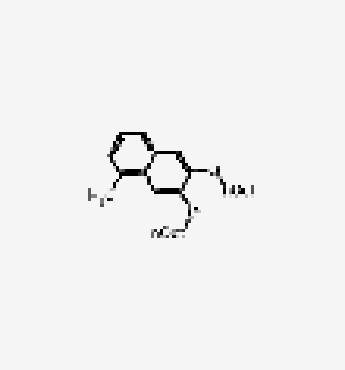 CCCCCCCCOc1cc2cccc(C)c2cc1OCCCCCCCC